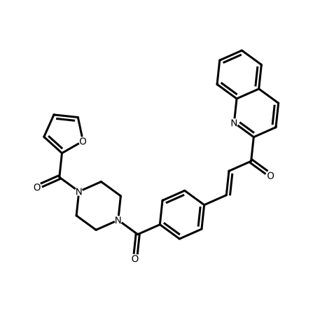 O=C(C=Cc1ccc(C(=O)N2CCN(C(=O)c3ccco3)CC2)cc1)c1ccc2ccccc2n1